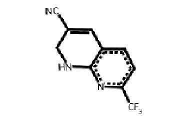 N#CC1=Cc2ccc(C(F)(F)F)nc2NC1